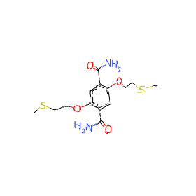 CSCCOc1cc(C(N)=O)c(OCCSC)cc1C(N)=O